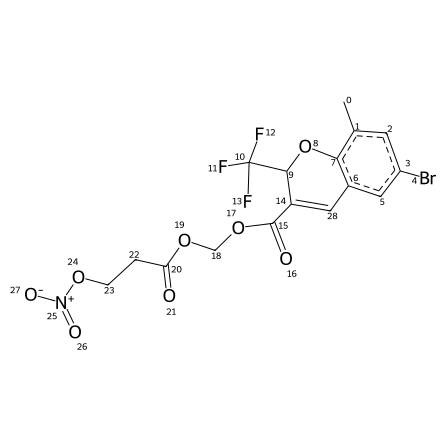 Cc1cc(Br)cc2c1OC(C(F)(F)F)C(C(=O)OCOC(=O)CCO[N+](=O)[O-])=C2